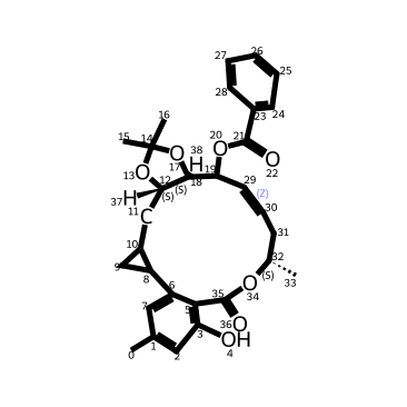 Cc1cc(O)c2c(c1)C1CC1C[C@@H]1OC(C)(C)O[C@@H]1C(OC(=O)c1ccccc1)/C=C\C[C@H](C)OC2=O